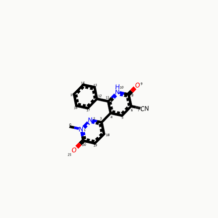 Cn1nc(-c2cc(C#N)c(=O)[nH]c2-c2ccccc2)ccc1=O